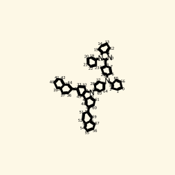 c1ccc(N(c2ccc(-c3nc4ccccc4n3-c3ccccc3)cc2)c2ccc(-n3c4ccc(-c5ccc6ccccc6c5)cc4c4cc(-c5ccc6ccccc6c5)ccc43)cc2)cc1